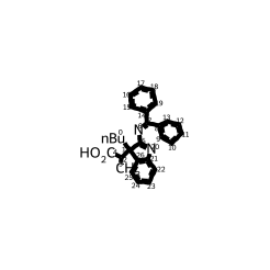 CCCCC1(C(C)C(=O)O)C(N=C(c2ccccc2)c2ccccc2)=Nc2ccccc21